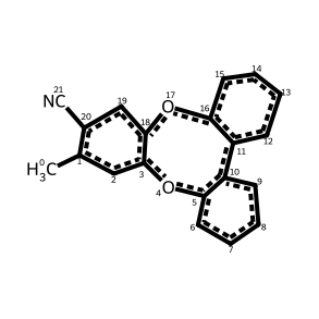 Cc1cc2oc3ccccc3c3ccccc3oc2cc1C#N